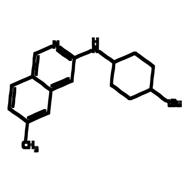 Cc1ccc2cnc(NC3CCC(C(C)(C)C)CC3)cc2c1